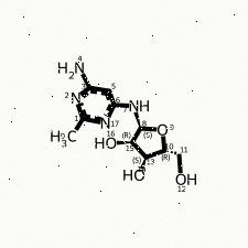 Cc1nc(N)cc(N[C@H]2O[C@H](CO)[C@@H](O)[C@H]2O)n1